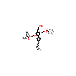 C=C(C)C(=O)OCCOc1cc(-c2ccc(CCCCC)cc2F)c(OCCOC(=O)C(=C)C)cc1CCCO